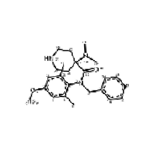 CCCCOc1cc(C)c(N(Cc2ccccc2)C(=O)C2(N(C)C)CCNCC2)c(C)c1